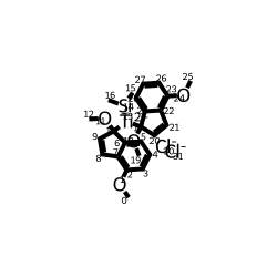 COc1cccc2c1C=C[C]2(OC)[Ti+2](=[Si](C)C)[C]1(OC)C=Cc2c(OC)cccc21.[Cl-].[Cl-]